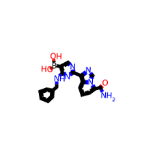 NC(=O)c1cccc2c(-c3ncc(B(O)O)c(NCc4ccccc4)n3)ncn12